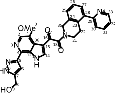 COc1cnc(-c2cc(CO)[nH]n2)c2[nH]cc(C(=O)C(=O)N3CCc4c(cccc4-c4ccccn4)C3)c12